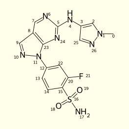 Cn1cc(Nc2ncc3cnn(-c4ccc(S(N)(=O)=O)c(F)c4)c3n2)cn1